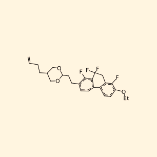 C=CCCC1COC(CCc2ccc3c(c2F)C(F)(F)Cc2c-3ccc(OCC)c2F)OC1